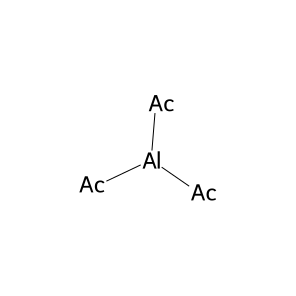 C[C](=O)[Al]([C](C)=O)[C](C)=O